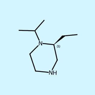 CC[C@H]1CNCCN1C(C)C